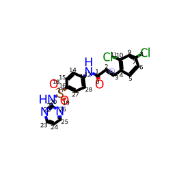 O=C(/C=C/c1ccc(Cl)cc1Cl)Nc1ccc(S(=O)(=O)Nc2ncccn2)cc1